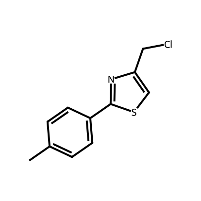 Cc1ccc(-c2nc(CCl)cs2)cc1